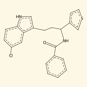 O=C(NC(CCc1c[nH]c2ccc(Cl)cc12)c1ccsc1)c1ccccc1